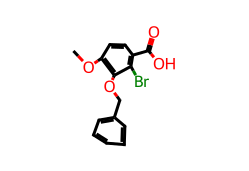 COc1ccc(C(=O)O)c(Br)c1OCc1ccccc1